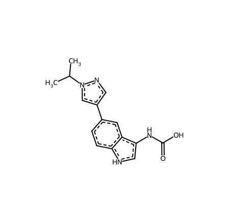 CC(C)n1cc(-c2ccc3[nH]cc(NC(=O)O)c3c2)cn1